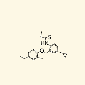 CCC(=S)Nc1ccc(C2CC2)cc1COc1ccc(CC)cc1C